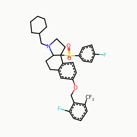 O=S(=O)(c1ccc(F)cc1)C12CCN(CC3CCCCC3)C1CCc1cc(OCc3c(F)cccc3C(F)(F)F)ccc12